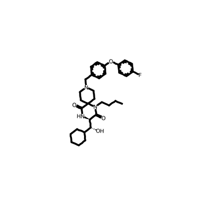 CCCCN1C(=O)[C@@H]([C@H](O)C2CCCCC2)NC(=O)C12CCN(Cc1ccc(Oc3ccc(F)cc3)cc1)CC2